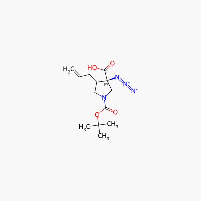 C=CCC1CN(C(=O)OC(C)(C)C)C[C@@]1(N=[N+]=[N-])C(=O)O